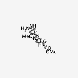 COC(=O)CCNC(=O)c1ccc2c(c1)nc(-c1ccc(C(=N)N)cc1OC)n2C